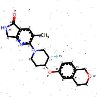 Cc1cc2c(nc1N1CC[C@@H](Oc3ccc4c(c3)CCOC4)[C@@H](F)C1)CNC2=O